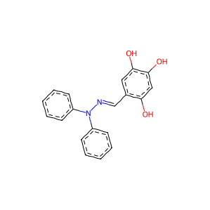 Oc1cc(O)c(C=NN(c2ccccc2)c2ccccc2)cc1O